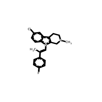 CC(=Cn1c2c(c3cc(Cl)ccc31)CCN(C)C2)c1ccc(F)cc1